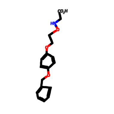 O=C(O)CNOCCOc1ccc(OCc2ccccc2)cc1